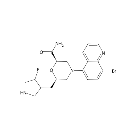 NC(=O)[C@H]1CN(c2ccc(Br)c3ncccc23)C[C@@H](CC2CNCC2F)O1